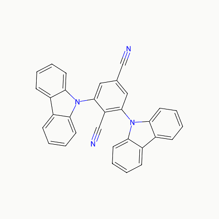 N#Cc1cc(-n2c3ccccc3c3ccccc32)c(C#N)c(-n2c3ccccc3c3ccccc32)c1